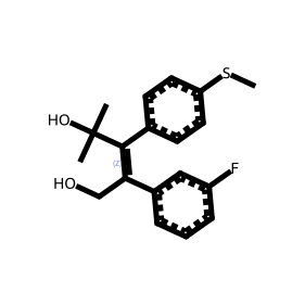 CSc1ccc(/C(=C(/CO)c2cccc(F)c2)C(C)(C)O)cc1